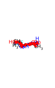 COc1ccc(C(=O)N2CCC3(CCN(CCc4ccc(-c5cc6c(-c7cc(F)cc(NC(=O)c8ccc(C(C)(C)O)cc8F)c7C)ncnc6[nH]5)cc4)CC3)CC2)cc1N1CCC(=O)NC1=O